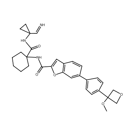 COC1(c2ccc(-c3ccc4cc(C(=O)NC5(C(=O)NC6(C=N)CC6)CCCCC5)oc4c3)cc2)COC1